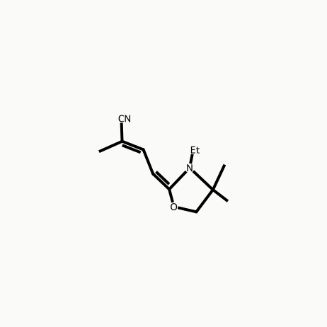 CCN1/C(=C\C=C(/C)C#N)OCC1(C)C